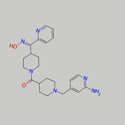 Nc1cc(CN2CCC(C(=O)N3CCC(/C(=N\O)c4ccccn4)CC3)CC2)ccn1